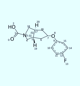 O=C(O)N1C[C@H]2CC(Oc3ccc(F)cc3)C[C@@H]2C1